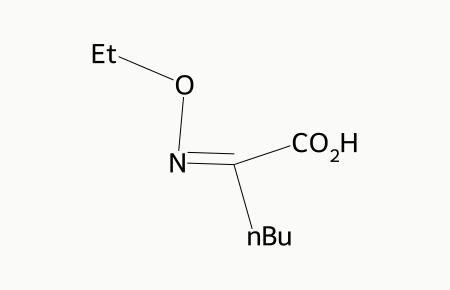 CCCCC(=NOCC)C(=O)O